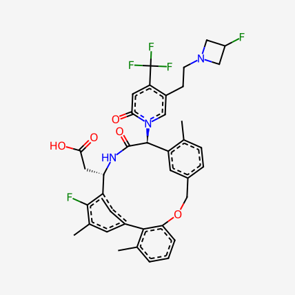 Cc1ccc2cc1[C@H](n1cc(CCN3CC(F)C3)c(C(F)(F)F)cc1=O)C(=O)N[C@@H](CC(=O)O)c1cc(cc(C)c1F)-c1c(C)cccc1OC2